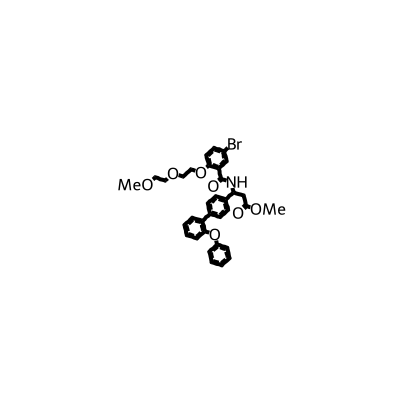 COCCOCCOc1ccc(Br)cc1C(=O)NC(CC(=O)OC)c1ccc(-c2ccccc2Oc2ccccc2)cc1